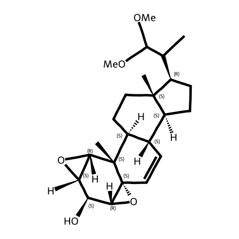 COC(OC)C(C)[C@H]1CC[C@H]2[C@@H]3C=C[C@@]45O[C@@H]4[C@@H](O)[C@@H]4O[C@@H]4[C@]5(C)[C@H]3CC[C@]12C